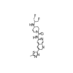 Cc1nnc(-c2cnc3cnc(NC(=O)N4CCC(NC(CF)CF)CC4)cc3c2)s1